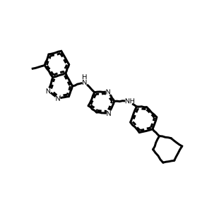 Cc1cccc2c(Nc3ccnc(Nc4ccc(C5CCCCC5)cc4)n3)cnnc12